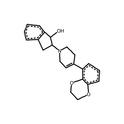 OC1c2ccccc2CC1N1CC=C(c2cccc3c2OCCO3)CC1